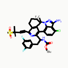 CC(C)(C)OC(=O)NC(Cc1cc(F)cc(F)c1)c1nc(C#CC(C)(C)S(C)(=O)=O)c2c(c1-c1ccc(Cl)c3c(N)nn(CC(F)(F)F)c13)CCCC2